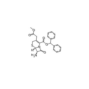 COC(=O)CC1=C(C(=O)OC(c2ccccc2)c2ccccc2)N2C(=O)[C@@H](N)[C@@H]2SC1